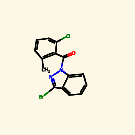 Cc1cccc(Cl)c1C(=O)n1nc(Br)c2ccccc21